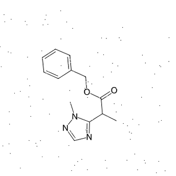 CC(C(=O)OCc1ccccc1)c1ncnn1C